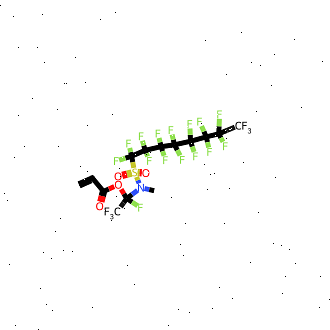 C=CC(=O)OC(F)(N(C)S(=O)(=O)C(F)(F)C(F)(F)C(F)(F)C(F)(F)C(F)(F)C(F)(F)C(F)(F)C(F)(F)F)C(F)(F)F